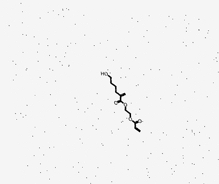 C=CC(=O)OCCOC(=O)C(=C)CCCCO